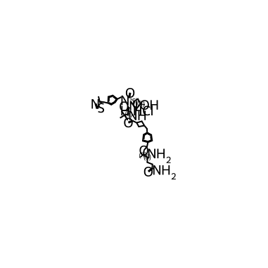 Cc1ncsc1-c1ccc(CNC(=O)[C@@H]2C[C@@H](O)CN2C(=O)[C@@H](NC(=O)C2CC(Cc3ccc(CO[C@H](C)[C@@H](N)CCC(N)=O)cc3)C2)C(C)(C)C)cc1.Cl